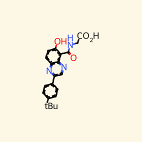 CC(C)(C)c1ccc(-c2cnc3c(C(=O)NCC(=O)O)c(O)ccc3n2)cc1